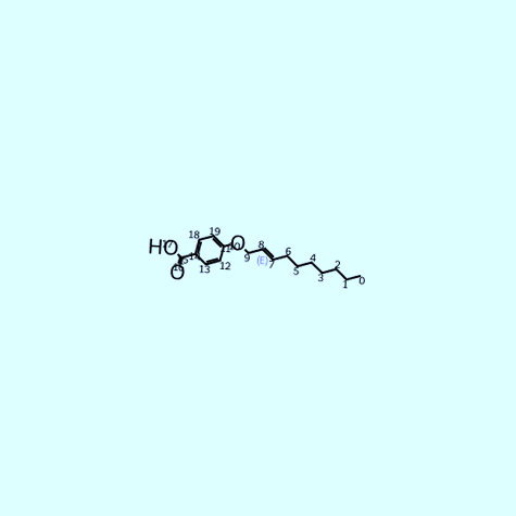 CCCCCCC/C=C/COc1ccc(C(=O)O)cc1